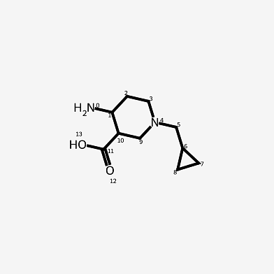 NC1CCN(CC2CC2)CC1C(=O)O